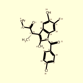 CCCOC(=O)[C@@H](C)c1c(C)n(C(=O)c2ccc(Cl)cc2)c2cc(F)c(O)cc12